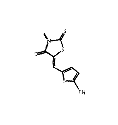 CN1C(=O)/C(=C/c2ccc(C#N)s2)SC1=S